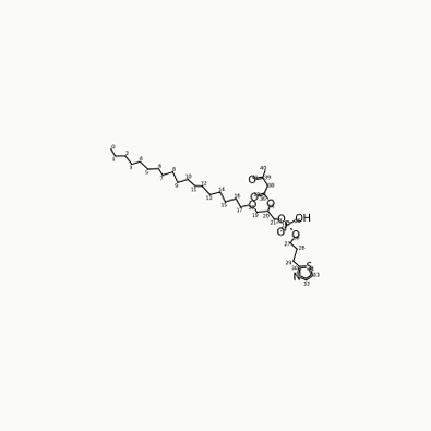 CCCCCCCCCCCCCCCCCCOCC(COP(=O)(O)OCCCc1nccs1)OC(=O)CC(C)=O